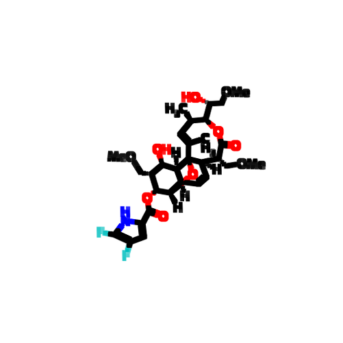 COC[C@@H]1[C@@H](O)[C@@H]2[C@H]3C=C[C@@H]4[C@@H](COC)C(=O)O[C@H]([C@H](O)COC)[C@H](C)/C=C(\C)[C@@]24O[C@H]3[C@@H]1OC(=O)c1cc(F)c(F)[nH]1